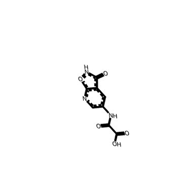 O=C(O)C(=O)Nc1cnc2o[nH]c(=O)c2c1